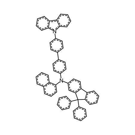 c1ccc(C2(c3ccccc3)c3ccccc3-c3ccc(N(c4ccc(-c5ccc(-n6c7ccccc7c7ccccc76)cc5)cc4)c4cccc5ccccc45)cc32)cc1